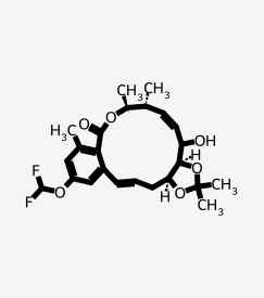 Cc1cc(OC(F)F)cc2c1C(=O)O[C@@H](C)[C@H](C)/C=C\C(O)[C@H]1OC(C)(C)O[C@H]1C/C=C/2